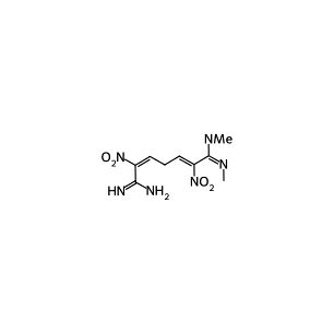 CN=C(NC)C(=CCC=C(C(=N)N)[N+](=O)[O-])[N+](=O)[O-]